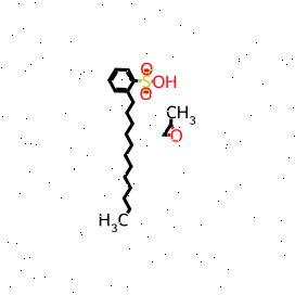 CC1CO1.CCCCCCCCCCCCc1ccccc1S(=O)(=O)O